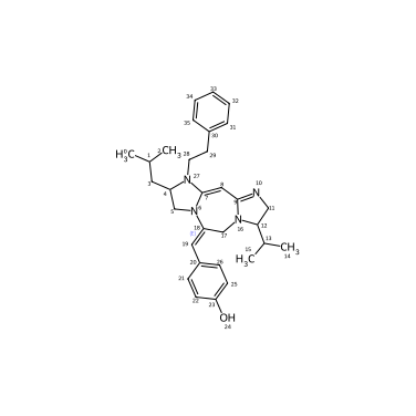 CC(C)CC1CN2C(=CC3=NCC(C(C)C)N3C/C2=C\c2ccc(O)cc2)N1CCc1ccccc1